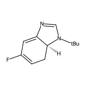 CC(C)(C)N1C=NC2=CC(F)=CC[C@@H]21